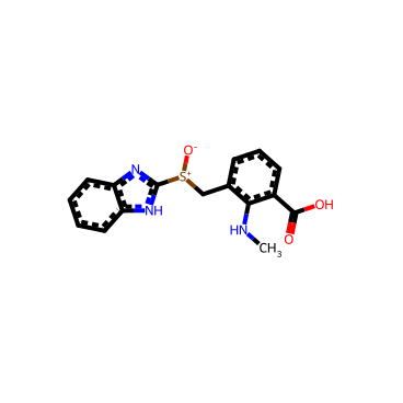 CNc1c(C[S+]([O-])c2nc3ccccc3[nH]2)cccc1C(=O)O